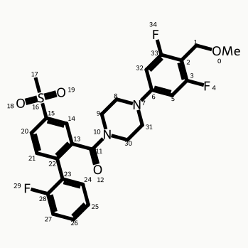 COCc1c(F)cc(N2CCN(C(=O)c3cc(S(C)(=O)=O)ccc3-c3ccccc3F)CC2)cc1F